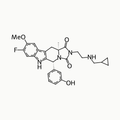 COc1cc2c3c([nH]c2cc1F)[C@@H](c1cccc(O)c1)N1C(=O)N(CCNCC2CC2)C(=O)[C@]1(C)C3